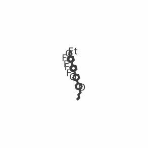 C=CCCC1CCC(C2CCC(c3ccc(-c4ccc(OCC)c(F)c4F)c(F)c3F)OC2)CO1